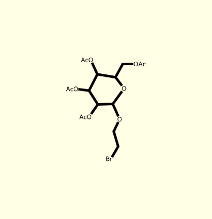 CC(=O)OCC1OC(OCCBr)C(OC(C)=O)C(OC(C)=O)C1OC(C)=O